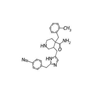 Cc1ccccc1CC1(C(N)=O)CCNCC1Cc1cnc(Cc2ccc(C#N)cc2)[nH]1